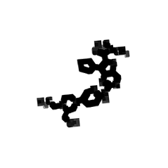 CCN1CCN(c2ccc(Nc3ncc4sc(C(=O)N(C)C)c(C5CCCC5)c4n3)nc2)C[C@H]1CO